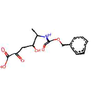 CC(NC(=O)OCc1ccccc1)C(O)CC(=O)C(=O)O